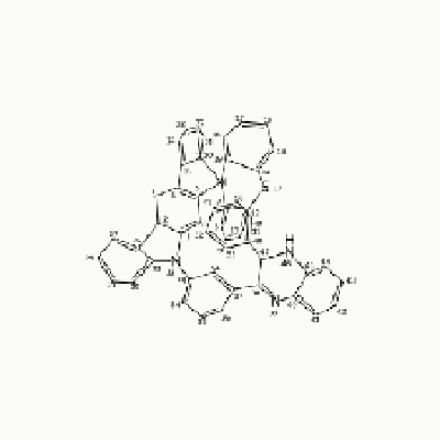 C1=C2C(CC3=C1C1(c4ccccc4Sc4ccccc41)c1ccccc13)c1ccccc1N2c1cccc(C2=Nc3ccccc3NC2c2ccccc2)c1